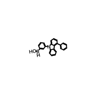 OBc1cccc(-n2c3ccccc3c3c(-c4ccccc4)cccc32)c1